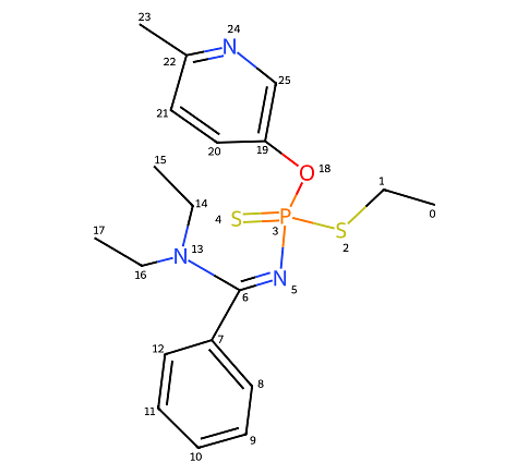 CCSP(=S)(N=C(c1ccccc1)N(CC)CC)Oc1ccc(C)nc1